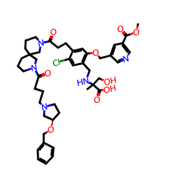 COC(=O)c1cncc(COc2cc(CCC(=O)N3CCCC4(CCCN(C(=O)CCCN5CC[C@@H](OCc6ccccc6)C5)C4)C3)c(Cl)cc2CNC(C)(CO)C(=O)O)c1